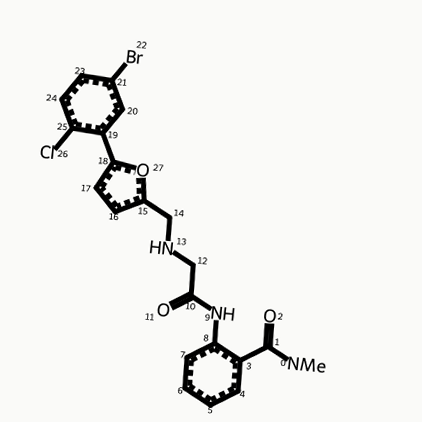 CNC(=O)c1ccccc1NC(=O)CNCc1ccc(-c2cc(Br)ccc2Cl)o1